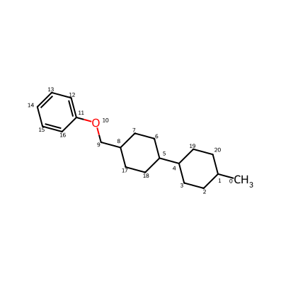 CC1CCC(C2CCC(COc3ccccc3)CC2)CC1